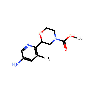 Cc1cc(N)cnc1C1CN(C(=O)OC(C)(C)C)CCO1